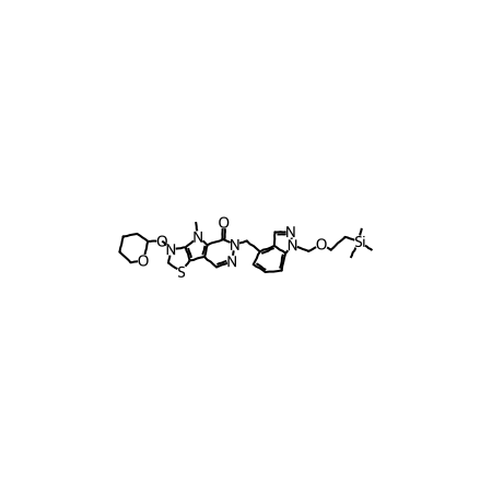 Cn1c2c(c3cnn(Cc4cccc5c4cnn5COCC[Si](C)(C)C)c(=O)c31)SCN2OC1CCCCO1